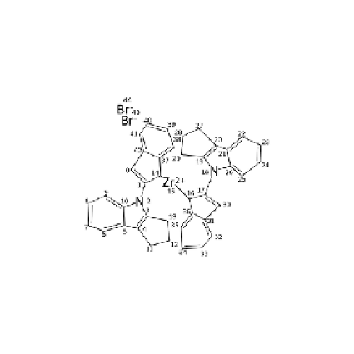 C1=C(n2c3c(c4ccccc42)CCC3)[CH]([Zr+2][CH]2C(n3c4c(c5ccccc53)CCC4)=Cc3ccccc32)c2ccccc21.[Br-].[Br-]